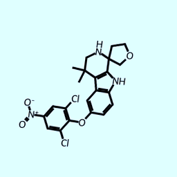 CC1(C)CNC2(CCOC2)c2[nH]c3ccc(Oc4c(Cl)cc([N+](=O)[O-])cc4Cl)cc3c21